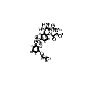 COCC(=O)Nc1ccc(S(=O)(=O)Oc2cccc(OCC(C)C)c2)cc1NC(=N)NC(=O)OC